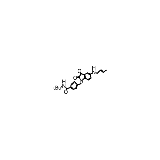 CC=CCNc1ccc2c(c1)C(=O)C(=O)N2Cc1ccc(C(=O)NC(C)(C)C)cc1